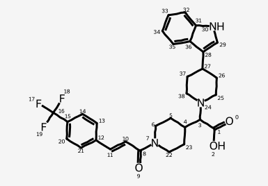 O=C(O)C(C1CCN(C(=O)C=Cc2ccc(C(F)(F)F)cc2)CC1)N1CCC(c2c[nH]c3ccccc23)CC1